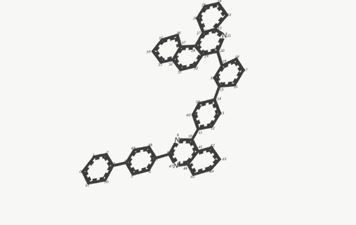 c1ccc(-c2ccc(-c3nc(-c4ccc(-c5cccc(-c6nc7ccccc7c7c6ccc6ccccc67)c5)cc4)c4ccccc4n3)cc2)cc1